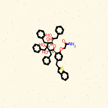 NC(=O)COc1ccc(Cc2cc3ccccc3s2)cc1[C@@H]1O[C@H](C(O)Cc2ccccc2)[C@](O)(Cc2ccccc2)[C@@](O)(Cc2ccccc2)[C@]1(O)Cc1ccccc1